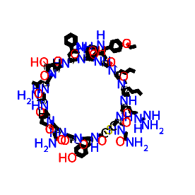 C=C1N[C@@H](CCCNC(=N)N)C(=O)N[C@H](C(=O)NCC(N)=O)CSCC(=O)N[C@@H](Cc2ccc(O)cc2)C(=O)N(C)[C@@H](C)C(=O)N[C@@H](CC(N)=O)C(=O)N2CCC[C@H]2C(=O)N[C@@H](CN)C(=O)N[C@@H](CC(C)C)C(=O)N2C[C@H](O)C[C@H]2C(=O)N[C@@H](Cc2c[nH]c3ccccc23)C(=O)N[C@@H](CO)C(=O)N[C@@H](Cc2c(-c3ccc(OCC)cc3)[nH]c3ccccc23)C(=O)N(C)[C@@H](CCCC)C(=O)N(C)[C@H]1CCCC